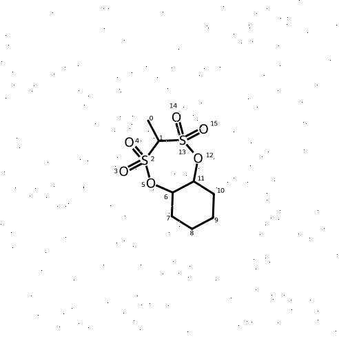 CC1S(=O)(=O)OC2CCCCC2OS1(=O)=O